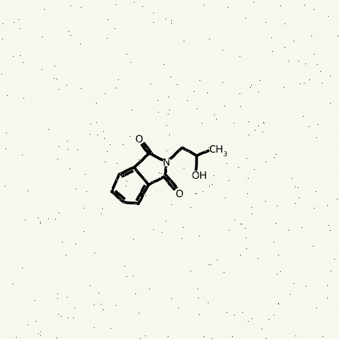 CC(O)CN1C(=O)c2ccccc2C1=O